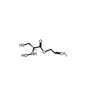 C=CCOC(=O)[C@H](CS)NO